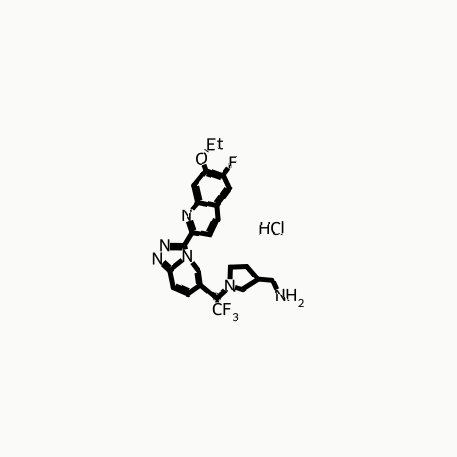 CCOc1cc2nc(-c3nnc4ccc([C@@H](N5CCC(CN)C5)C(F)(F)F)cn34)ccc2cc1F.Cl